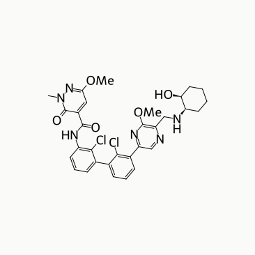 COc1cc(C(=O)Nc2cccc(-c3cccc(-c4cnc(CN[C@@H]5CCCC[C@@H]5O)c(OC)n4)c3Cl)c2Cl)c(=O)n(C)n1